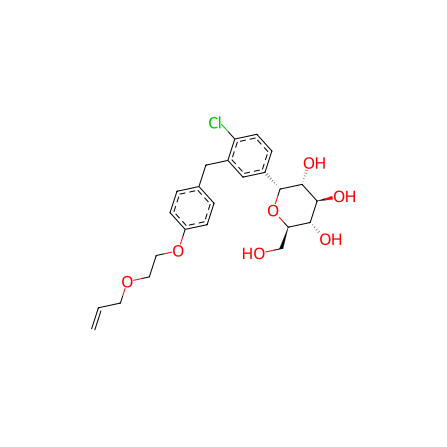 C=CCOCCOc1ccc(Cc2cc([C@H]3O[C@H](CO)[C@@H](O)[C@H](O)[C@H]3O)ccc2Cl)cc1